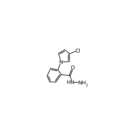 NNC(=O)c1ccccc1-n1ccc(Cl)c1